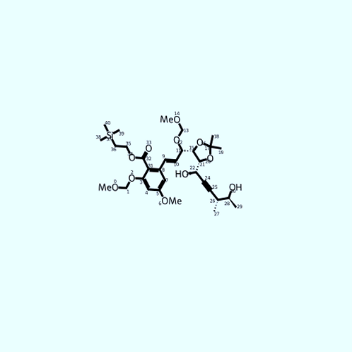 COCOc1cc(OC)cc(/C=C/C(OCOC)[C@@H]2OC(C)(C)O[C@@H]2C(O)C#C[C@@H](C)[C@H](C)O)c1C(=O)OCC[Si](C)(C)C